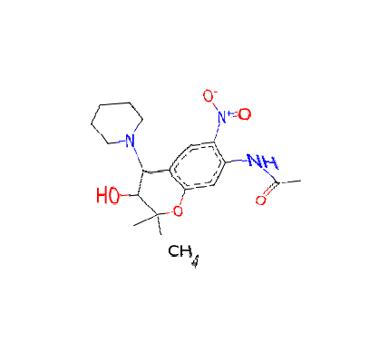 C.CC(=O)Nc1cc2c(cc1[N+](=O)[O-])C(N1CCCCC1)C(O)C(C)(C)O2